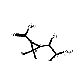 CCOC(=O)C(C)C(O)C1C(C(=O)OC)C1(C)C